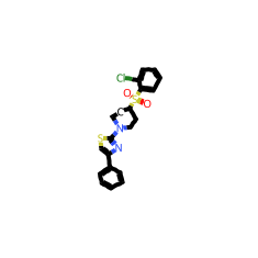 O=S(=O)(c1ccccc1Cl)C1CCN(c2nc(-c3ccccc3)cs2)CC1